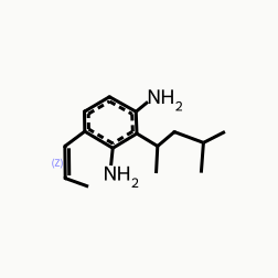 C/C=C\c1ccc(N)c(C(C)CC(C)C)c1N